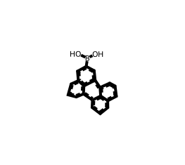 OB(O)c1cc2cccc3c4cccc5cccc(c(c1)c23)c54